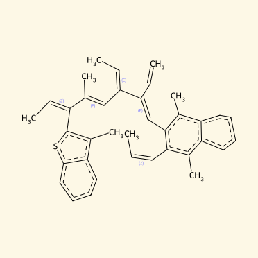 C=CC(=C\c1c(/C=C\C)c(C)c2ccccc2c1C)/C(/C=C(C)/C(=C/C)c1sc2ccccc2c1C)=C/C